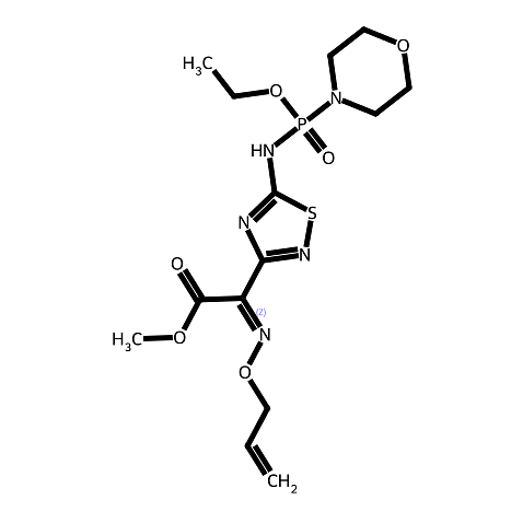 C=CCO/N=C(\C(=O)OC)c1nsc(NP(=O)(OCC)N2CCOCC2)n1